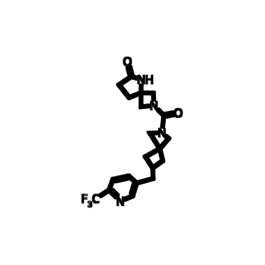 O=C1CCC2(CN(C(=O)N3CC4(CC(Cc5ccc(C(F)(F)F)nc5)C4)C3)C2)N1